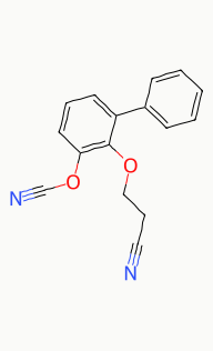 N#CCCOc1c(OC#N)cccc1-c1ccccc1